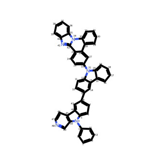 c1ccc(-n2c3ccc(-c4ccc5c(c4)c4ccccc4n5-c4ccc5c(c4)c4ccccc4n4c6ccccc6nc54)cc3c3ccncc32)cc1